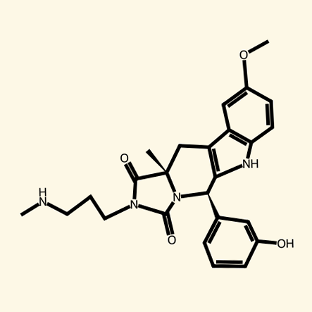 CNCCCN1C(=O)N2[C@H](c3cccc(O)c3)c3[nH]c4ccc(OC)cc4c3C[C@@]2(C)C1=O